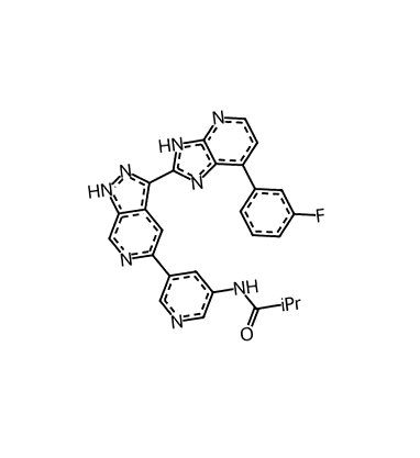 CC(C)C(=O)Nc1cncc(-c2cc3c(-c4nc5c(-c6cccc(F)c6)ccnc5[nH]4)n[nH]c3cn2)c1